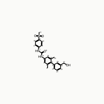 Cc1cc(NC(=O)Nc2ccc(S(C)(=O)=O)cc2)cc(C)c1-c1cccc(CO)c1